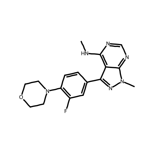 CNc1ncnc2c1c(-c1ccc(N3CCOCC3)c(F)c1)nn2C